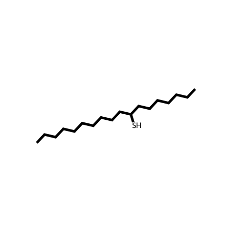 CCCCCCCCCCC(S)CCCCCCC